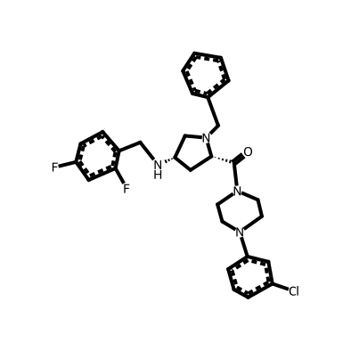 O=C([C@@H]1C[C@H](NCc2ccc(F)cc2F)CN1Cc1ccccc1)N1CCN(c2cccc(Cl)c2)CC1